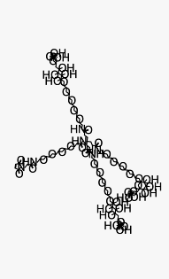 O=C(CCN1C(=O)C=CC1=O)NCCOCCOCCOCCOCCC(=O)NC(CCC(=O)NCCOCCOCCOCCOCCOC(O)C(O)C(O)C(O)CCOP(=O)(O)O)(CCC(=O)NCCOCCOCCOCCOCCOC(O)C(O)C(O)C(O)CCOP(=O)(O)O)CCC(=O)NCCOCCOCCOCCOCCOC1OC(COP(=O)(O)O)C(O)C(O)C1O